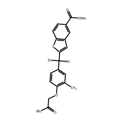 CCC(CC)(c1ccc(OCC(=O)C(C)(C)C)c(C)c1)c1cc2cc(C(=O)OC)ccc2s1